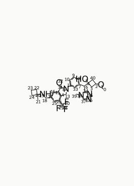 CO[C@H]1C[C@@](O)(C(c2cccc(N3Cc4c(cc(CNC5(C)CCC5)cc4C(F)(F)F)C3=O)c2)c2nncn2C)C1